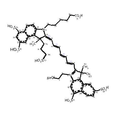 COCC[N+]1=C(/C=C/C=C/C=C/C=C2/N(CCCCCC(=O)O)c3ccc4c(S(=O)(=O)O)cc(S(=O)(=O)O)cc4c3C2(C)CCCS(=O)(=O)O)C(C)(C)c2c1cc(S(=O)(=O)O)c1ccc(S(=O)(=O)O)cc21